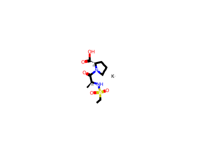 CCS(=O)(=O)N[C@@H](C)C(=O)N1CCC[C@H]1C(=O)O.[K]